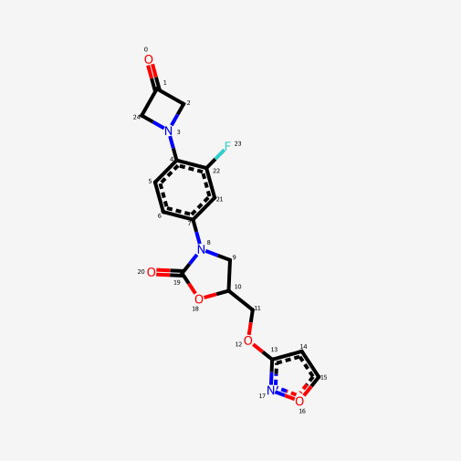 O=C1CN(c2ccc(N3CC(COc4ccon4)OC3=O)cc2F)C1